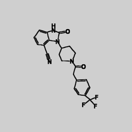 N#Cc1cccc2[nH]c(=O)n(C3CCN(C(=O)Cc4ccc(C(F)(F)F)cc4)CC3)c12